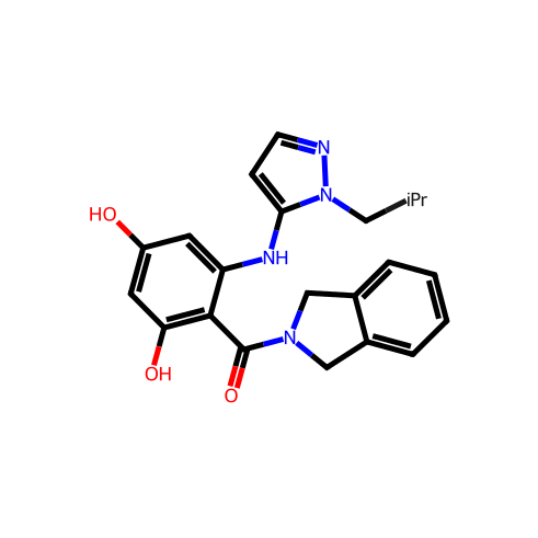 CC(C)Cn1nccc1Nc1cc(O)cc(O)c1C(=O)N1Cc2ccccc2C1